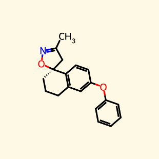 CC1=NO[C@@]2(CCCc3cc(Oc4ccccc4)ccc32)C1